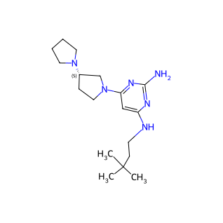 CC(C)(C)CCNc1cc(N2CC[C@H](N3CCCC3)C2)nc(N)n1